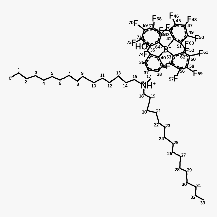 CCCCCCCCCCCCCCCC[NH+](C)CCCCCCCCCCCCCCCC.Oc1ccccc1[B-](c1c(F)c(F)c(F)c(F)c1F)(c1c(F)c(F)c(F)c(F)c1F)c1c(F)c(F)c(F)c(F)c1F